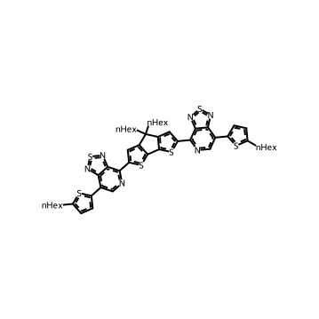 CCCCCCc1ccc(-c2cnc(-c3cc4c(s3)-c3sc(-c5ncc(-c6ccc(CCCCCC)s6)c6nsnc56)cc3C4(CCCCCC)CCCCCC)c3nsnc23)s1